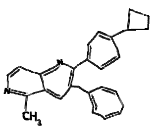 Cc1nccc2nc(-c3ccc(C4CCC4)cc3)c(-c3ccccc3)cc12